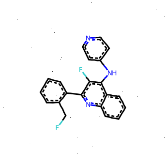 FCc1ccccc1-c1nc2ccccc2c(Nc2ccncc2)c1F